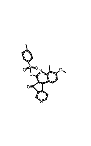 COc1ccc2c3c(c(OS(=O)(=O)c4ccc(C)cc4)nc2c1C)C(=O)c1cnccc1-3